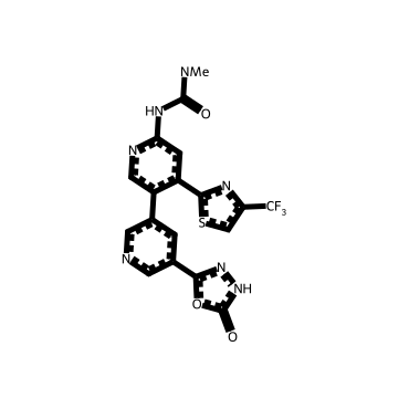 CNC(=O)Nc1cc(-c2nc(C(F)(F)F)cs2)c(-c2cncc(-c3n[nH]c(=O)o3)c2)cn1